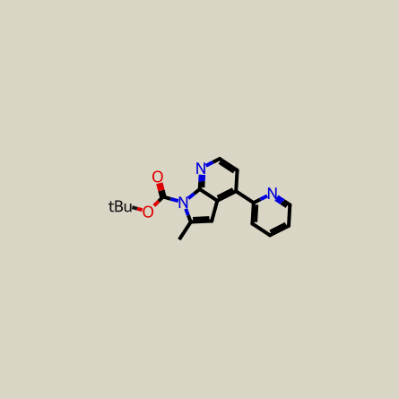 Cc1cc2c(-c3ccccn3)ccnc2n1C(=O)OC(C)(C)C